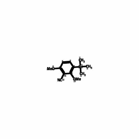 COc1cc[c]([Sn]([CH3])([CH3])[CH3])c(OC)c1C#N